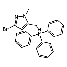 Cn1nc(Br)cc1C[PH](c1ccccc1)(c1ccccc1)c1ccccc1